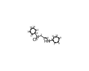 ClN(C/C=C/Nc1ccccc1)c1ccccc1